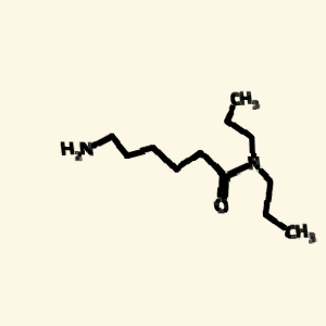 CCCN(CCC)C(=O)CCCCCN